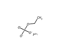 CCO[Si]([O-])([O-])[O-].[P+3]